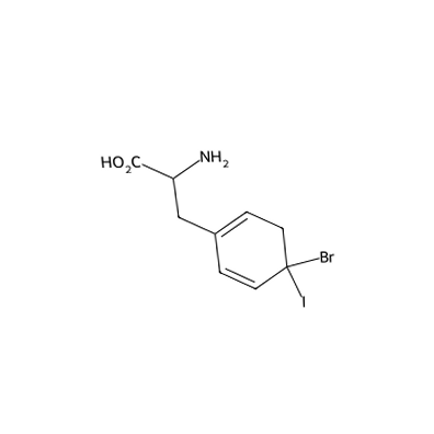 NC(CC1=CCC(Br)(I)C=C1)C(=O)O